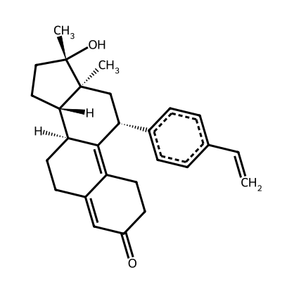 C=Cc1ccc([C@H]2C[C@@]3(C)[C@@H](CC[C@]3(C)O)[C@@H]3CCC4=CC(=O)CCC4=C32)cc1